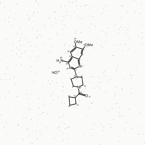 COc1cc2nc(N3CCN(C(=O)C4CCC4)CC3)nc(N)c2cc1OC.Cl